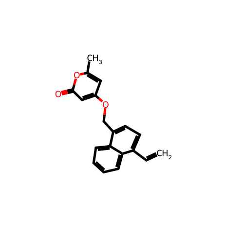 C=Cc1ccc(COc2cc(C)oc(=O)c2)c2ccccc12